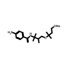 C=C(NC(C)(C)C(C)COC(C)(C)CCOC)c1ccc(N)cc1